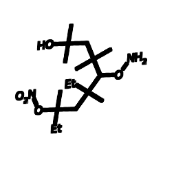 CCC(C)(CC(C)(CC)C(ON)C(C)(C)CC(C)(C)O)O[N+](=O)[O-]